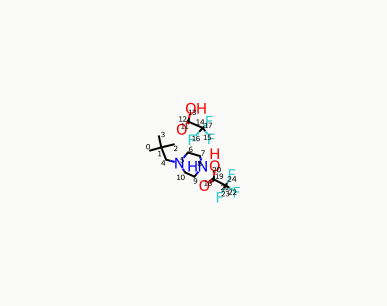 CC(C)(C)CN1CCNCC1.O=C(O)C(F)(F)F.O=C(O)C(F)(F)F